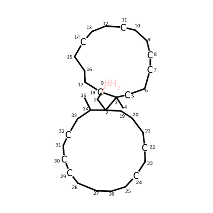 BCC1(C2(C)CCCCCCCCCCCCCC2)CCCCCCCCCCCCCCCC1C